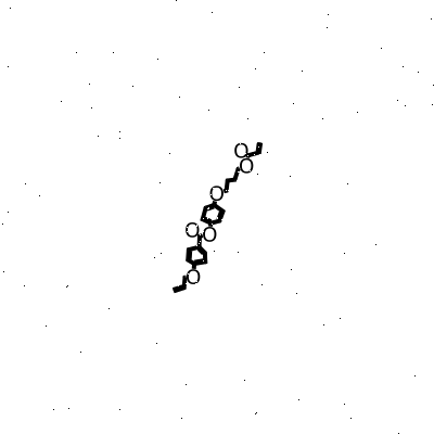 C=CCOc1ccc(C(=O)Oc2ccc(OCCCCOC(=O)C=C)cc2)cc1